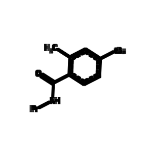 Cc1cc(C(C)(C)C)ccc1C(=O)NC(C)C